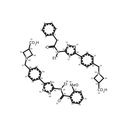 CCN(C(=O)Cc1ccccc1)c1nnc(-c2ccc(CN3CC(C(=O)O)C3)cc2)s1.CCN(C(=O)c1ccccc1OC)c1nnc(-c2ccc(CN3CC(C(=O)O)C3)cc2)s1